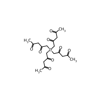 CC(=O)CC(=O)[CH2][Zr]([CH2]C(=O)CC(C)=O)([CH2]C(=O)CC(C)=O)[CH2]C(=O)CC(C)=O